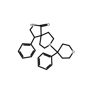 O=C1NCC(c2ccccc2)C12CCN(C1(c3ccccc3)CCOCC1)CC2